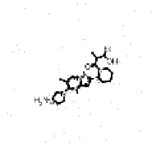 CCC(O)C(C)C(=O)N1CCCC[C@H]1c1cc2nc(N3CC[C@H](N)C3)c(C)cn2n1